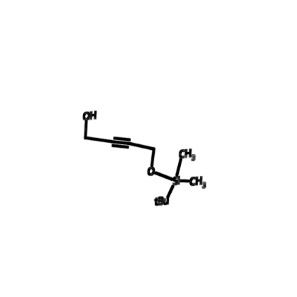 CC(C)(C)[Si](C)(C)OCC#CCO